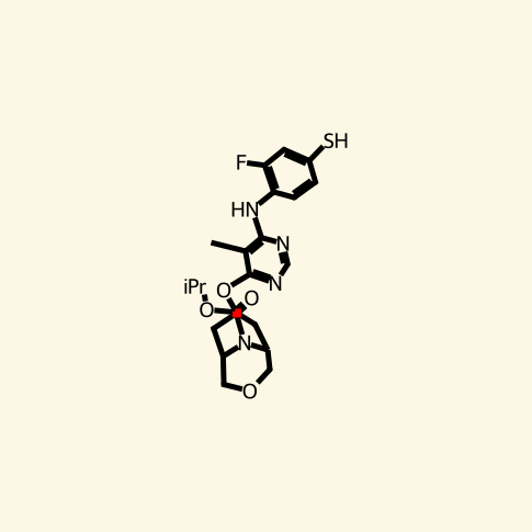 Cc1c(Nc2ccc(S)cc2F)ncnc1OC1CC2COCC(C1)N2C(=O)OC(C)C